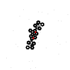 c1ccc(N(c2ccc3c4c(ccc3c2)-c2c(c3ccc(N(c5ccccc5)c5cccc6c5oc5c(C7CCCCC7)cccc56)cc3c3ccccc23)C4(c2ccccc2)c2ccccc2)c2cccc3c2oc2c(C4CCCCC4)cccc23)cc1